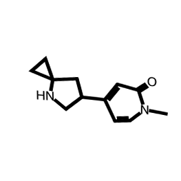 Cn1ccc(C2CNC3(CC3)C2)cc1=O